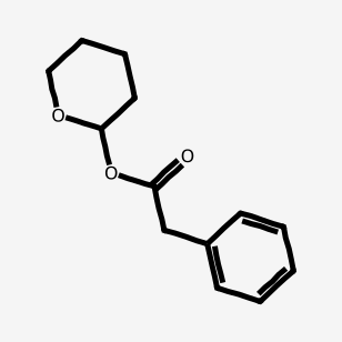 O=C(Cc1ccccc1)OC1CCCCO1